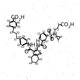 O=C(O)CCCN(C1CC1)S(=O)(=O)c1cccc(C(=O)Nc2sc3c(c2C(=O)Nc2ccc(CCCc4ccc(C(=O)O)cc4)cc2)CCCC3)c1